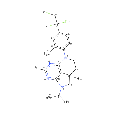 CCCC(CCC)N1C[C@@H]2CCN(c3ccc(C(F)(F)CF)cc3C(F)(F)F)c3nc(C)nc1c32